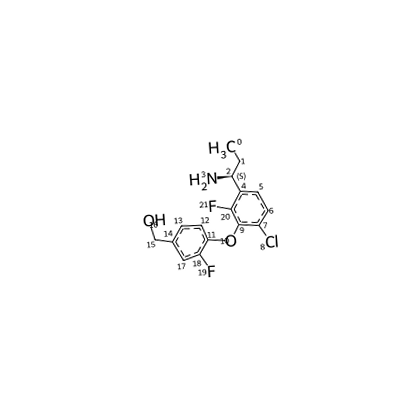 CC[C@H](N)c1ccc(Cl)c(Oc2ccc(CO)cc2F)c1F